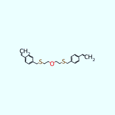 C=Cc1ccc(CSCCOCCSCc2ccc(C=C)cc2)cc1